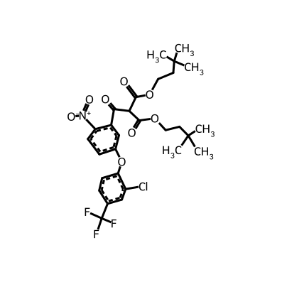 CC(C)(C)CCOC(=O)C(C(=O)OCCC(C)(C)C)C(=O)c1cc(Oc2ccc(C(F)(F)F)cc2Cl)ccc1[N+](=O)[O-]